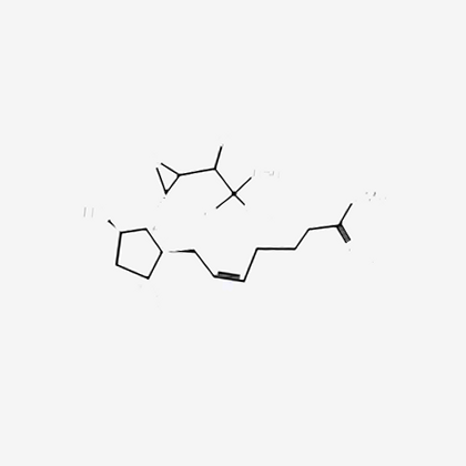 C=C(CCC/C=C\C[C@@H]1[C@@H](C2OC2C(O)C(C)(C)CCCC)[C@H](O)C[C@H]1Cl)OC